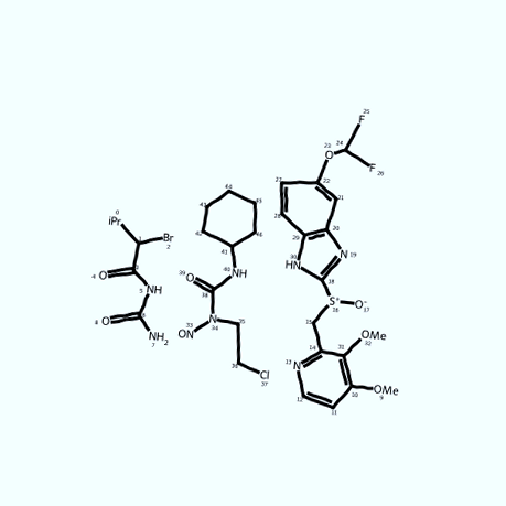 CC(C)C(Br)C(=O)NC(N)=O.COc1ccnc(C[S+]([O-])c2nc3cc(OC(F)F)ccc3[nH]2)c1OC.O=NN(CCCl)C(=O)NC1CCCCC1